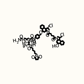 CC(C)C(NC(=O)CCCCCN1C(=O)C=CC1=O)C(=O)N[C@@H](CCCNC(N)=O)C(=O)Nc1ccc(COc2cc3c(c4ccccc24)[C@H](CCl)CN3C(=O)CCCC(=O)N2CC(CCl)c3c2cc(O)c2ccccc32)cc1